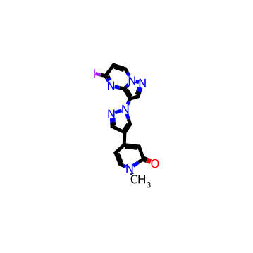 Cn1ccc(-c2cnn(-c3cnn4ccc(I)nc34)c2)cc1=O